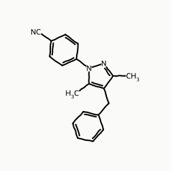 Cc1nn(-c2ccc(C#N)cc2)c(C)c1Cc1ccccc1